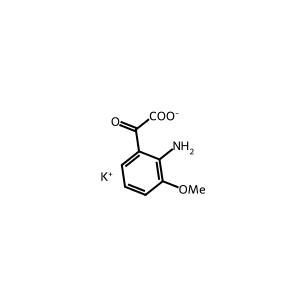 COc1cccc(C(=O)C(=O)[O-])c1N.[K+]